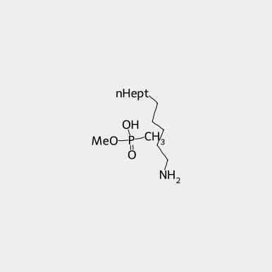 CCCCCCCCCCCCN.COP(C)(=O)O